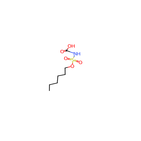 CCCCCCOS(=O)(=O)NC(=O)O